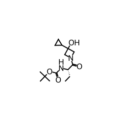 CC[C@H](NC(=O)OC(C)(C)C)C(=O)N1CC(O)(C2CC2)C1